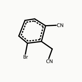 N#CCc1c(Br)cccc1C#N